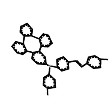 Cc1ccc(/C=C/c2ccc(N(c3ccc(C)cc3)c3ccc4c(c3)-c3ccccc3-c3ccccc3-c3ccccc3-4)cc2)cc1